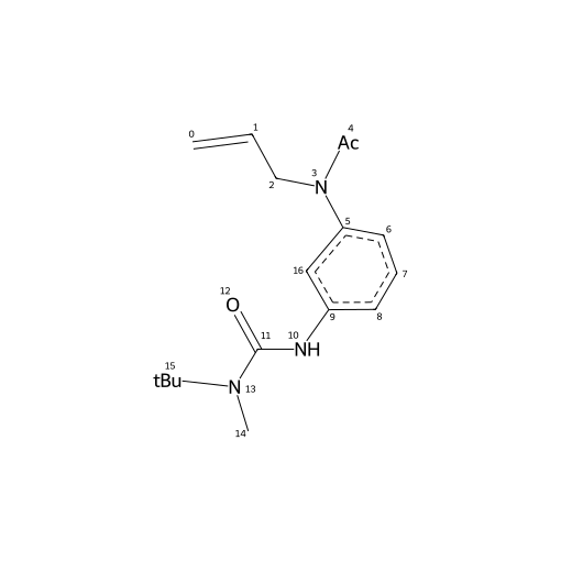 C=CCN(C(C)=O)c1cccc(NC(=O)N(C)C(C)(C)C)c1